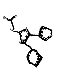 CC(C)C(=O)Nc1nc(-c2ccccc2)c(-c2ccoc2)s1